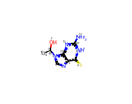 CC[C@@H](O)n1cnc2c(=S)[nH]c(N)nc21